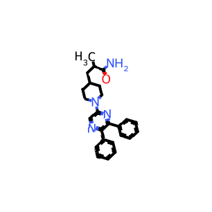 CC(CC1CCN(c2cnc(-c3ccccc3)c(-c3ccccc3)n2)CC1)C(N)=O